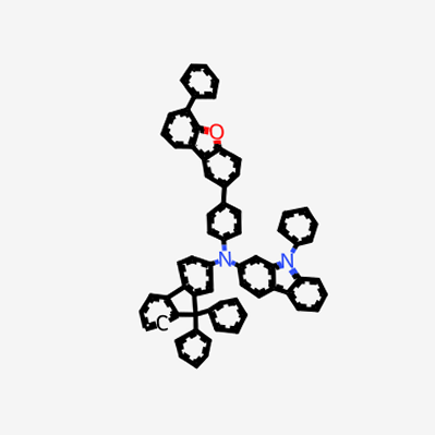 c1ccc(-c2cccc3c2oc2ccc(-c4ccc(N(c5ccc6c(c5)C(c5ccccc5)(c5ccccc5)c5ccccc5-6)c5ccc6c7ccccc7n(-c7ccccc7)c6c5)cc4)cc23)cc1